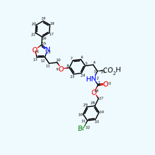 O=C(N[C@@H](Cc1ccc(OCCc2coc(-c3ccccc3)n2)cc1)C(=O)O)OCc1ccc(Br)cc1